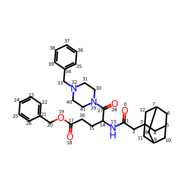 O=C(CC12CC3CC(CC(C3)C1)C2)NC(CCC(=O)OCc1ccccc1)C(=O)N1CCN(Cc2ccccc2)CC1